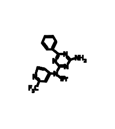 CC(C)N(c1ccnc(C(F)(F)F)c1)c1nc(N)nc(-c2ccccc2)n1